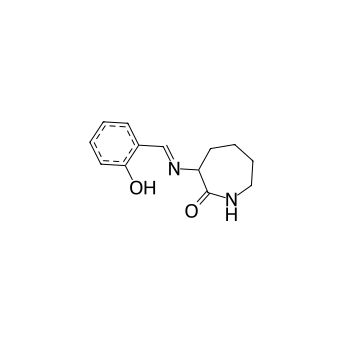 O=C1NCCCCC1N=Cc1ccccc1O